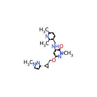 Cc1ccc(CNc2cc(OC[C@H]3C[C@@H]3c3ccn(C)n3)nn(C)c2=O)c(C)n1